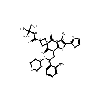 COc1ccccc1[C@H](CN1c2sc(-c3ncco3)c(C)c2C(=O)[C@]2(C[C@H](C(=O)NC(C)(C)C(=O)O)C2)C1=O)OC1CCOCC1